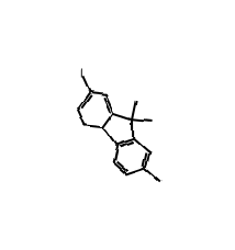 Cc1ccc2c(c1)C(C)(C)C1=CC(I)=CCC12